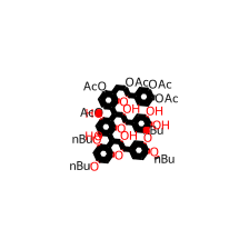 CCCCOc1cc(OCCCC)c2c(c1)OC(c1ccc(OCCCC)c(OCCCC)c1)C(O)C2c1c(O)cc(O)c2c1OC(c1ccc(O)c(O)c1)C(O)C2c1c(OC(C)=O)cc(OC(C)=O)c2c1OC(c1ccc(OC(C)=O)c(OC(C)=O)c1)C(OC(C)=O)C2